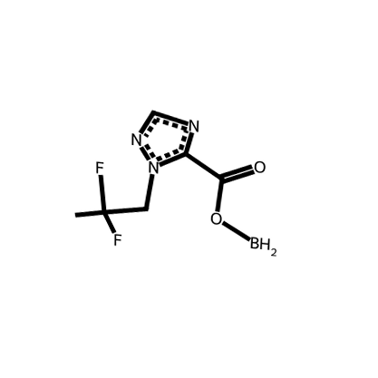 BOC(=O)c1ncnn1CC(C)(F)F